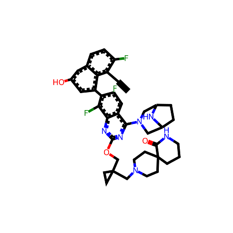 C#Cc1c(F)ccc2cc(O)cc(-c3c(F)cc4c(N5CC6CCC(C5)N6)nc(OCC5(CN6CCC7(CCCNC7=O)CC6)CC5)nc4c3F)c12